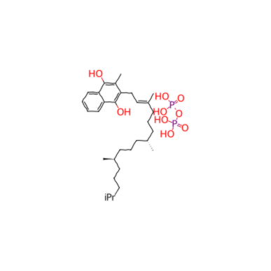 C/C(=C\Cc1c(C)c(O)c2ccccc2c1O)CCC[C@H](C)CCC[C@H](C)CCCC(C)C.O=P(O)(O)OP(=O)(O)O